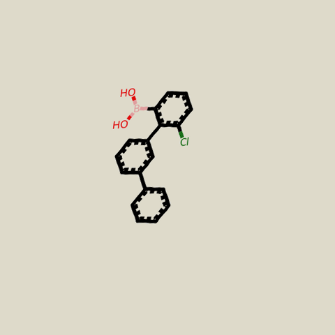 OB(O)c1cccc(Cl)c1-c1cccc(-c2ccccc2)c1